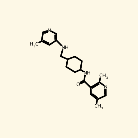 Cc1cncc(NCC2CCC(NC(=O)c3cc(C)cnc3C)CC2)c1